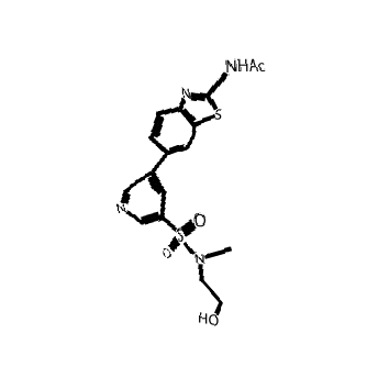 CC(=O)Nc1nc2ccc(-c3cncc(S(=O)(=O)N(C)CCO)c3)cc2s1